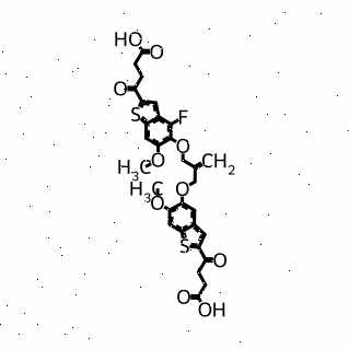 C=C(COc1cc2cc(C(=O)CCC(=O)O)sc2cc1OC)COc1c(OC)cc2sc(C(=O)CCC(=O)O)cc2c1F